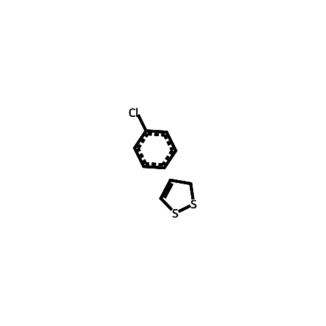 C1=CSSC1.Clc1ccccc1